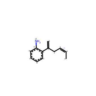 C=C(C/C=C\C)c1ccccc1N